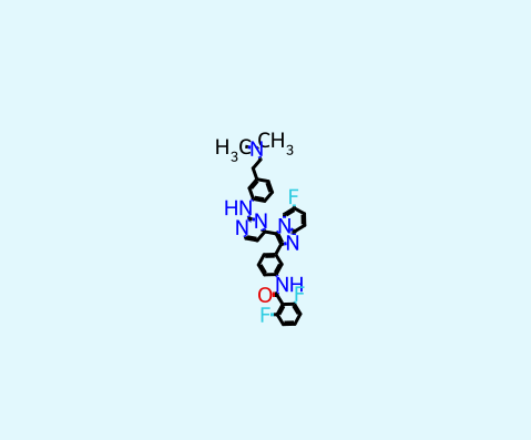 CN(C)CCc1cccc(Nc2nccc(-c3c(-c4cccc(NC(=O)c5c(F)cccc5F)c4)nc4ccc(F)cn34)n2)c1